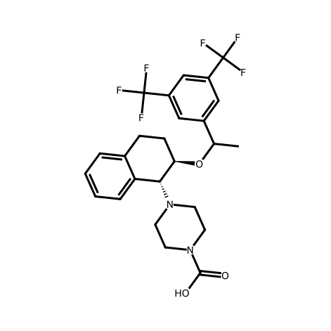 CC(O[C@@H]1CCc2ccccc2[C@H]1N1CCN(C(=O)O)CC1)c1cc(C(F)(F)F)cc(C(F)(F)F)c1